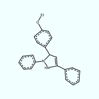 CCOc1ccc(C2C=C(c3ccccc3)NN2c2ccccc2)cc1